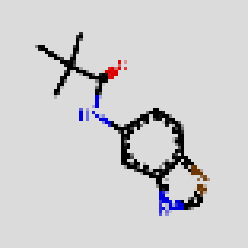 CC(C)(C)C(=O)Nc1ccc2scnc2c1